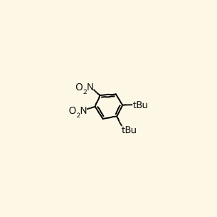 CC(C)(C)c1cc([N+](=O)[O-])c([N+](=O)[O-])cc1C(C)(C)C